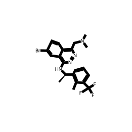 Cc1c([C@@H](C)Nc2nnc(CN(C)C)c3ccc(Br)cc23)cccc1C(F)(F)F